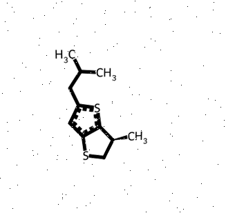 CC(C)Cc1cc2c(s1)[C@@H](C)CS2